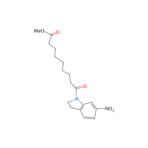 COC(=O)CCCCCCCC(=O)N1CCc2ccc([N+](=O)[O-])cc21